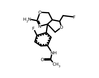 CC(=O)Nc1ccc(F)c(C23COC(CF)C2COC(N)=N3)c1